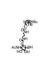 CC(=O)N[C@H]1[C@H](OCC(=O)NCCCNC(=O)OC[C@@H](CC(C)(C)C)OP(=O)(O)OC(C)(C)C)O[C@H](CO)[C@H](O)[C@@H]1O